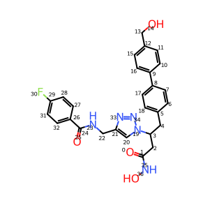 O=C(CC(Cc1ccc(-c2ccc(CO)cc2)cc1)n1cc(CNC(=O)c2ccc(F)cc2)nn1)NO